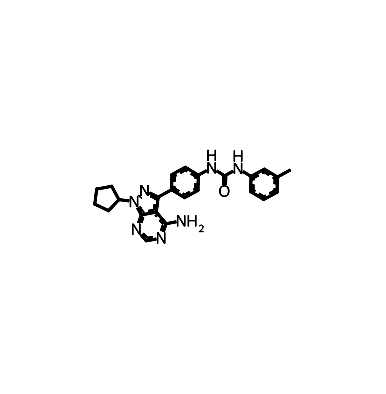 Cc1cccc(NC(=O)Nc2ccc(-c3nn(C4CCCC4)c4ncnc(N)c34)cc2)c1